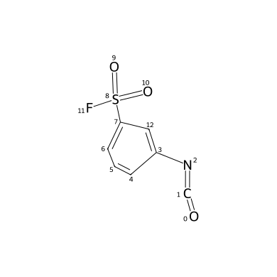 O=C=Nc1cccc(S(=O)(=O)F)c1